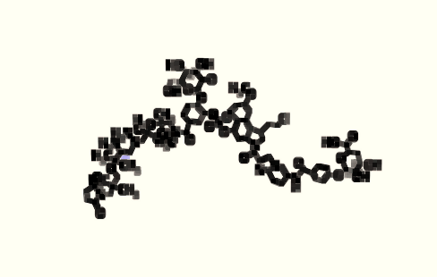 COc1ccc2c(OS(=O)(=O)Oc3cc(C(=O)N(C)CC(C)(C)OC(C)(C)CN(N)/C=C(\N)C(C)(C)OCC(C)(C)CN4C(=O)C=CC4=O)ccc3O[C@@H]3O[C@H](CO)[C@H](O)[C@H](O)C3=O)cc3c(c2c1)C(CCCl)CN3C(=O)c1cn2cc(NC(=O)c3ccc(O[C@@H]4OC(C(=O)O)C[C@H](O)[C@H]4O)cc3)ccc2n1